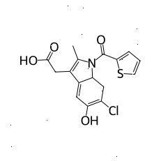 CC1=C(CC(=O)O)C2=CC(O)=C(Cl)CC2N1C(=O)c1cccs1